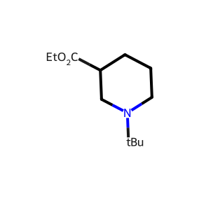 CCOC(=O)C1CCCN(C(C)(C)C)C1